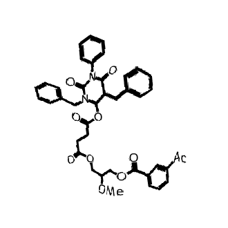 COC(COC(=O)CCC(=O)OC1C(Cc2ccccc2)C(=O)N(c2ccccc2)C(=O)N1Cc1ccccc1)COC(=O)c1cccc(C(C)=O)c1